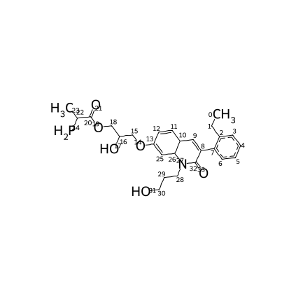 CCc1ccccc1C1=CC2C=CC(OCC(O)COC(=O)C(C)P)=CC2N(CCCO)C1=O